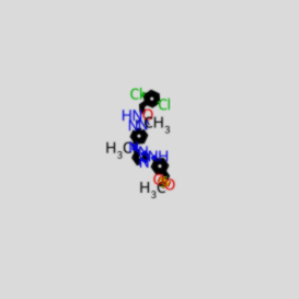 CN(c1ccc2c(c1)nc(NC(=O)Cc1cc(Cl)ccc1Cl)n2C)c1ccnc(Nc2ccc(CS(C)(=O)=O)cc2)n1